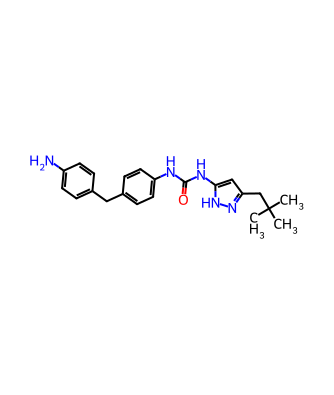 CC(C)(C)Cc1cc(NC(=O)Nc2ccc(Cc3ccc(N)cc3)cc2)[nH]n1